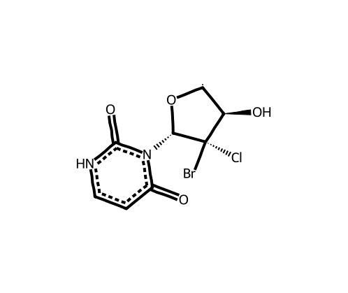 O=c1cc[nH]c(=O)n1[C@@H]1O[CH][C@@H](O)[C@@]1(Cl)Br